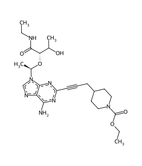 CCNC(=O)[C@@H](O[C@H](C)n1cnc2c(N)nc(C#CCC3CCN(C(=O)OCC)CC3)nc21)C(C)O